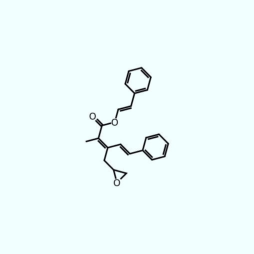 CC(C(=O)OC=Cc1ccccc1)=C(C=Cc1ccccc1)CC1CO1